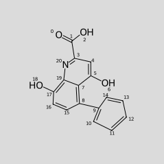 O=C(O)c1cc(O)c2c(-c3ccccc3)ccc(O)c2n1